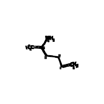 C=CCCC(=C)N